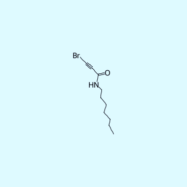 CCCCCCCNC(=O)C#CBr